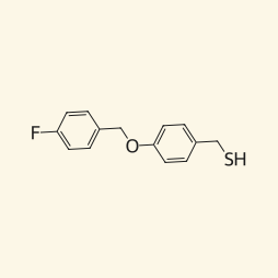 Fc1ccc(COc2ccc(CS)cc2)cc1